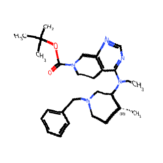 C[C@@H]1CCN(Cc2ccccc2)CC1N(C)c1ncnc2c1CCN(C(=O)OC(C)(C)C)C2